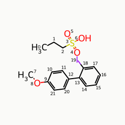 CCCS(=O)(=O)O.COc1ccc(-c2ccccc2I)cc1